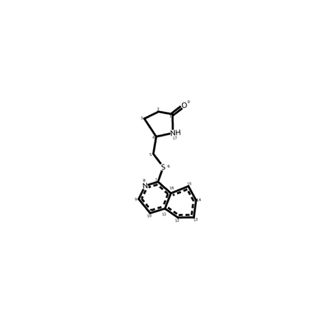 O=C1CCC(CSc2nccc3ccccc23)N1